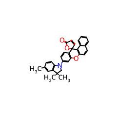 Cc1ccc2c(c1)C(C)(C)CN2c1ccc2c(c1)Oc1ccc3ccccc3c1C21OC(=O)c2ccccc21